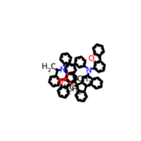 C=C(c1ccccc1C1=C(C)C(C)(C2(C)c3ccccc3-c3c2cc(N(c2ccccc2)c2cccc4c2oc2ccccc24)c2ccccc32)c2ccccc21)N(c1ccccc1)c1cccc2c1oc1ccccc12